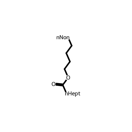 CCCCCCCCCCCCCOC(=O)CCCCCCC